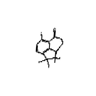 O=C1CCC2(O)c3c(ccc(F)c31)C(F)(F)C2(F)F